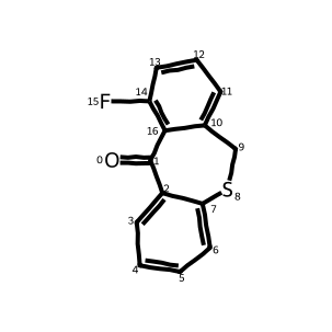 O=C1c2ccccc2SCc2cccc(F)c21